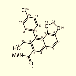 CNC(=O)c1cc2ccc3c(c2c(-c2ccc(Cl)cc2)c1CO)OCO3